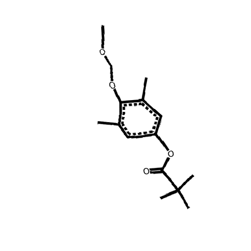 COCOc1c(C)cc(OC(=O)C(C)(C)C)cc1C